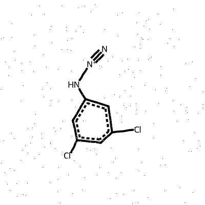 N#[N+]Nc1cc(Cl)cc(Cl)c1